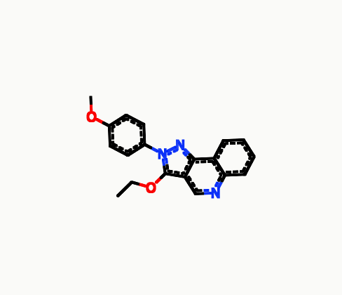 CCOc1c2cnc3ccccc3c2nn1-c1ccc(OC)cc1